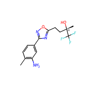 Cc1ccc(-c2noc(CC[C@](C)(O)C(F)(F)F)n2)cc1N